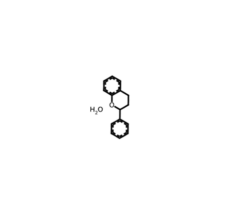 O.c1ccc(C2CCc3ccccc3O2)cc1